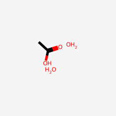 CC(=O)O.O.O